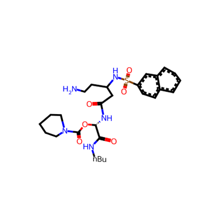 CCCCNC(=O)[C@@H](NC(=O)CC(CCN)NS(=O)(=O)c1ccc2ccccc2c1)OC(=O)N1CCCCC1